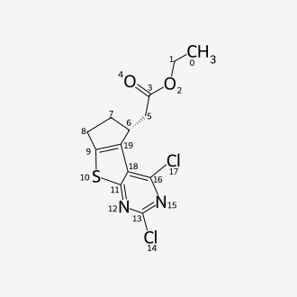 CCOC(=O)C[C@H]1CCc2sc3nc(Cl)nc(Cl)c3c21